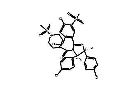 CCOc1cc(Cl)c(S(C)(=O)=O)cc1C1=N[C@@](C)(c2ccc(Cl)cc2)[C@@](C)(c2ccc(Cl)cc2)N1C(=O)N1CCN(S(C)(=O)=O)CC1